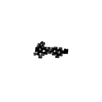 CCC1(CC)CN=C(C(C)C)c2ccc(/C=C/c3ccc4cc(C#N)ccc4c3)cc21